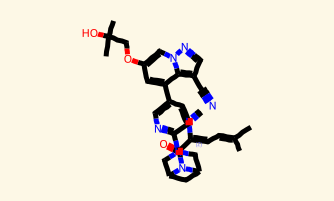 C=N/C(=C\C=C(C)C)C(=O)N1C2CC1CN(c1ccc(-c3cc(OCC(C)(C)O)cn4ncc(C#N)c34)cn1)C2